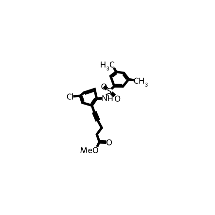 COC(=O)CCC#Cc1cc(Cl)ccc1NS(=O)(=O)c1cc(C)cc(C)c1